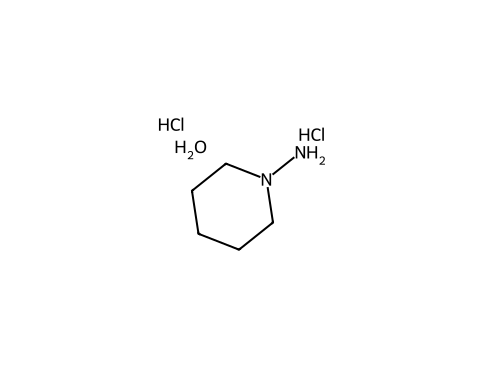 Cl.Cl.NN1CCCCC1.O